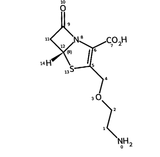 NCCOCC1=C(C(=O)O)N2C(=O)C[C@H]2S1